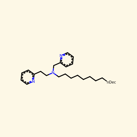 CCCCCCCCCCCCCCCCCCN(CCc1ccccn1)Cc1ccccn1